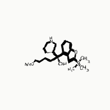 COCCCC[C@@](O)(c1cccc2oc([Si](C)(C)C)cc12)[C@@H]1CCCNC1